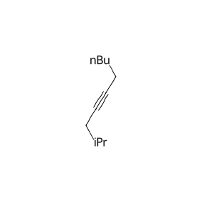 CCCCCC#CCC(C)C